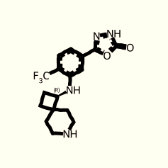 O=c1[nH]nc(-c2ccc(C(F)(F)F)c(N[C@@H]3CCC34CCNCC4)c2)o1